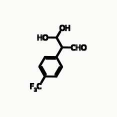 O=CC(c1ccc(C(F)(F)F)cc1)C(O)O